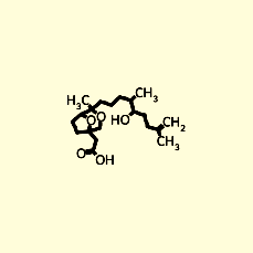 C=C(C)CCC(O)C(C)CCCC1(C)OCC2(CC(=O)O)CCC1O2